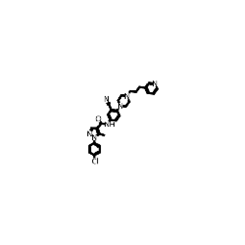 Cc1c(C(=O)Nc2ccc(N3CCN(CCCc4cccnc4)CC3)c(C#N)c2)cnn1-c1ccc(Cl)cc1